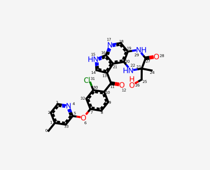 Cc1ccnc(Oc2ccc(C(=O)c3c[nH]c4ncc5c(c34)NC(C)(CO)C(=O)N5)c(Cl)c2)c1